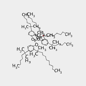 CCCCCCCCCC(C)(C)c1cc(C(C)(C)CCCCC)ccc1OP(Oc1ccc(C(C)(C)CCCCC)cc1C(C)(C)CCCCCCCCC)Oc1ccc(C(C)(C)CCCCC)cc1C(C)(C)CCCCCCCCC